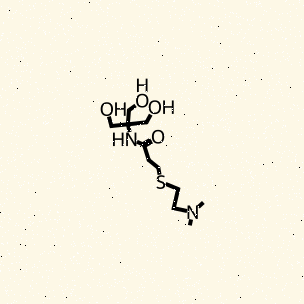 CN(C)CCSCCC(=O)NC(CO)(CO)CO